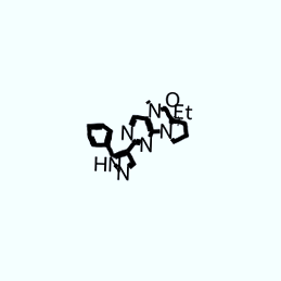 CC[C@@]12CCCN1c1nc(-c3cn[nH]c3-c3ccccc3)ncc1N(C)C2=O